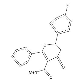 CNC(=O)C1=C(c2ccccc2)OC(c2ccc(F)cc2)CC1=O